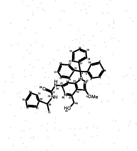 COc1nn(C(c2ccccc2)(c2ccccc2)c2ccccc2)c2cc(NC(=O)NC(C)c3ccccc3)nc(CO)c12